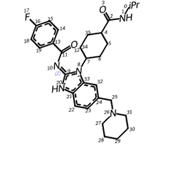 CC(C)NC(=O)C1CCC(n2/c(=N\C(=O)c3ccc(F)cc3)[nH]c3ccc(CN4CCCCC4)cc32)CC1